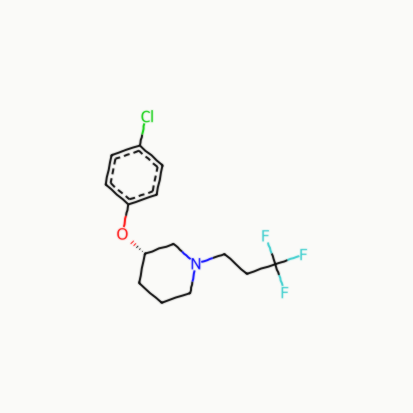 FC(F)(F)CCN1CCC[C@H](Oc2ccc(Cl)cc2)C1